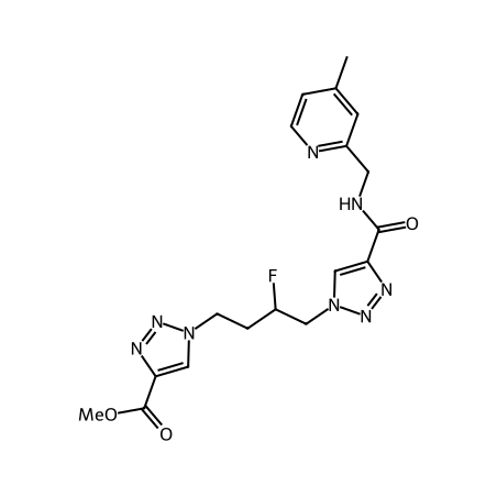 COC(=O)c1cn(CCC(F)Cn2cc(C(=O)NCc3cc(C)ccn3)nn2)nn1